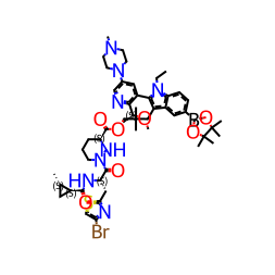 CCn1c(-c2cc(N3CCN(C)CC3)cnc2[C@H](C)OC)c(CC(C)(C)COC(=O)[C@@H]2CCCN(C(=O)[C@H](Cc3nc(Br)cs3)NC(=O)[C@H]3C[C@@H]3C)N2)c2cc(B3OC(C)(C)C(C)(C)O3)ccc21